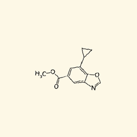 COC(=O)c1cc(C2CC2)c2ocnc2c1